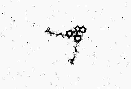 c1ccc2c(c1)CCC2(c1ccc(OCCOCC2CO2)cc1)c1ccc(OCCOCC2CO2)cc1